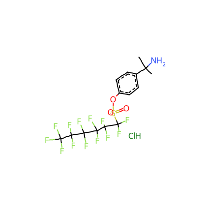 CC(C)(N)c1ccc(OS(=O)(=O)C(F)(F)C(F)(F)C(F)(F)C(F)(F)C(F)(F)C(F)(F)F)cc1.Cl